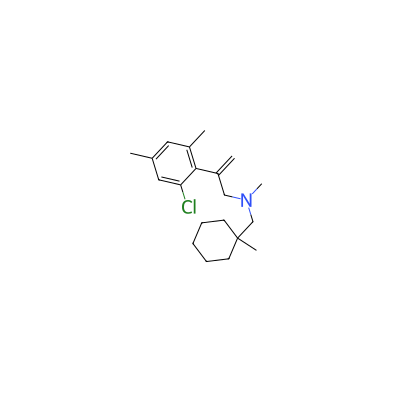 C=C(CN(C)CC1(C)CCCCC1)c1c(C)cc(C)cc1Cl